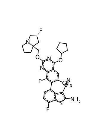 Cc1cc2c(OC3CCCC3)nc(OC[C@@]34CCCN3C[C@H](F)C4)nc2c(F)c1-c1ccc(F)c2sc(N)c(C#N)c12